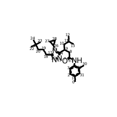 Cc1ccc(NC(=O)CC(CC(C)C)c2nnc(CCCC(C)(C)C)n2C2CC2)c(C)c1